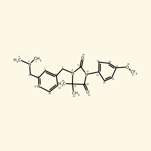 CN(C)Cc1cc(CN2C(=O)N(c3ccc(OC(F)(F)F)cc3)C(=O)C2(C)C)ccn1